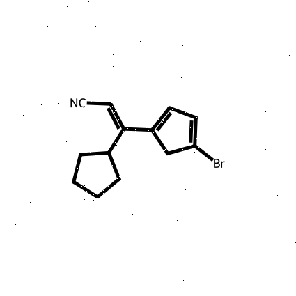 N#C/C=C(/C1=CC=C(Br)C1)C1CCCC1